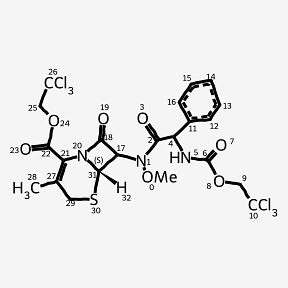 CON(C(=O)C(NC(=O)OCC(Cl)(Cl)Cl)c1ccccc1)C1C(=O)N2C(C(=O)OCC(Cl)(Cl)Cl)=C(C)CS[C@@H]12